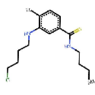 CCc1ccc(C(=S)NCCCSC)cc1NCCCCCl